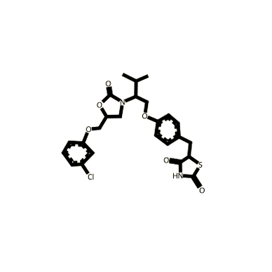 CC(C)C(COc1ccc(CC2SC(=O)NC2=O)cc1)N1CC(COc2cccc(Cl)c2)OC1=O